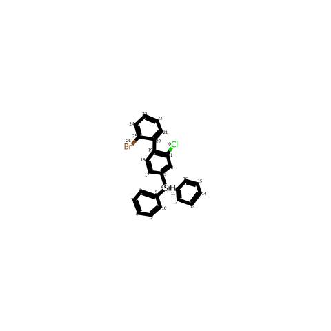 Clc1cc([SiH](c2ccccc2)c2ccccc2)ccc1-c1ccccc1Br